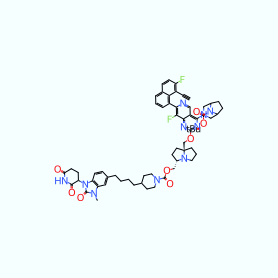 C#Cc1c(F)ccc2cccc(-c3ncc4c(N5CC6CCC(C5)N6C(=O)OC(C)(C)C)nc(OC[C@@]56CCCN5[C@H](COC(=O)N5CCC(CCCCc7ccc8c(c7)n(C)c(=O)n8C7CCC(=O)NC7=O)CC5)CC6)nc4c3F)c12